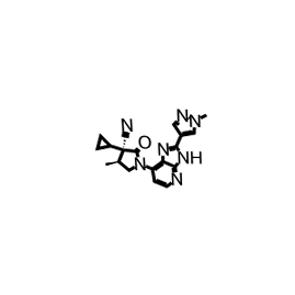 C[C@@H]1CN(c2ccnc3[nH]c(-c4cnn(C)c4)nc23)C(=O)[C@]1(C#N)C1CC1